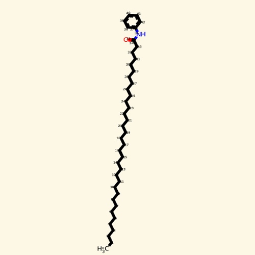 CCCCCCCCCCCCCCCCCCCCCCCCCCCCCCCCCCC(=O)Nc1ccccc1